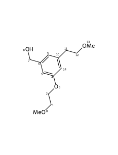 COCCOc1cc(CO)cc(CCOC)c1